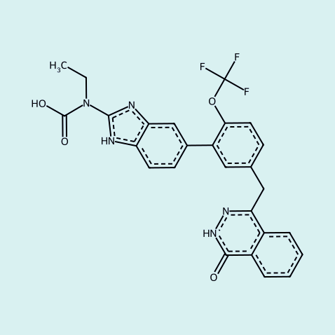 CCN(C(=O)O)c1nc2cc(-c3cc(Cc4n[nH]c(=O)c5ccccc45)ccc3OC(F)(F)F)ccc2[nH]1